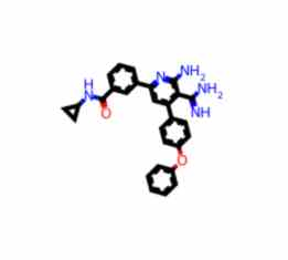 N=C(N)c1c(-c2ccc(Oc3ccccc3)cc2)cc(-c2cccc(C(=O)NC3CC3)c2)nc1N